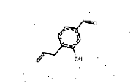 C=CCc1ccc(C=O)cc1O